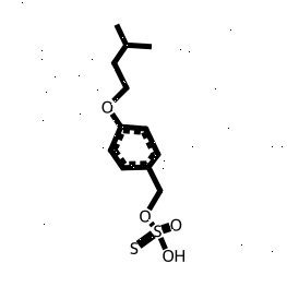 CC(C)CCOc1ccc(COS(=O)(O)=S)cc1